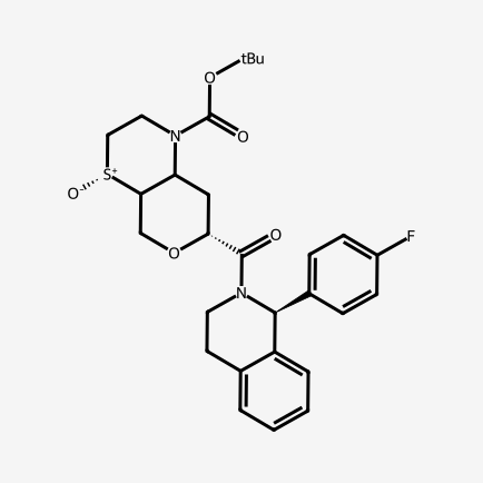 CC(C)(C)OC(=O)N1CC[S@@+]([O-])C2CO[C@@H](C(=O)N3CCc4ccccc4[C@@H]3c3ccc(F)cc3)CC21